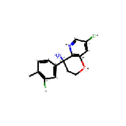 Cc1ccc([C@@]2(N)CCOc3cc(Cl)cnc32)cc1F